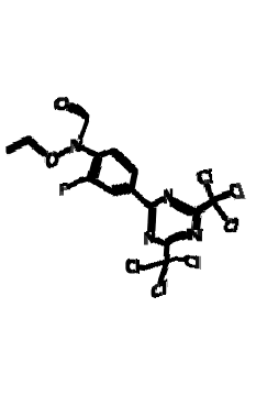 CCON(C=O)c1ccc(-c2nc(C(Cl)(Cl)Cl)nc(C(Cl)(Cl)Cl)n2)cc1F